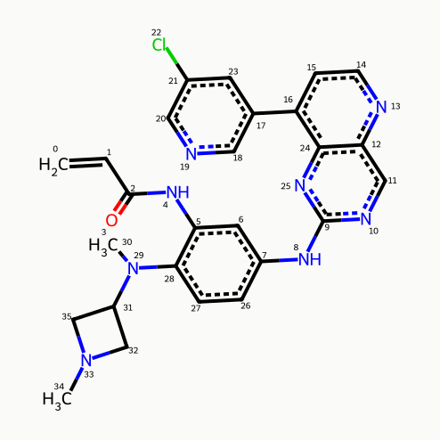 C=CC(=O)Nc1cc(Nc2ncc3nccc(-c4cncc(Cl)c4)c3n2)ccc1N(C)C1CN(C)C1